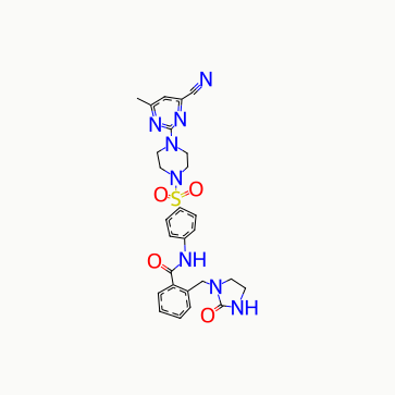 Cc1cc(C#N)nc(N2CCN(S(=O)(=O)c3ccc(NC(=O)c4ccccc4CN4CCNC4=O)cc3)CC2)n1